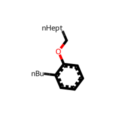 CCCCCCCCOc1ccccc1CCCC